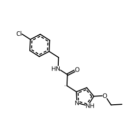 CCOc1cc([CH]C(=O)NCc2ccc(Cl)cc2)n[nH]1